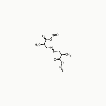 CC(CN=NCC(C)C(=O)ON=O)C(=O)ON=O